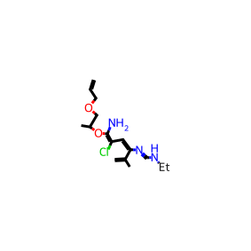 C=CCOCC(C)O/C(N)=C(Cl)/C=C(/N=C/NCC)C(=C)C